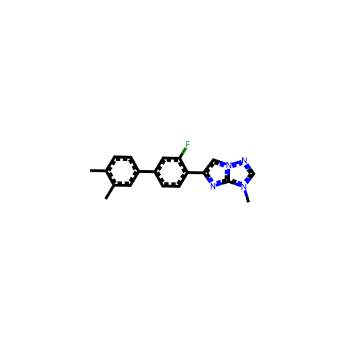 Cc1ccc(-c2ccc(-c3cn4ncn(C)c4n3)c(F)c2)cc1C